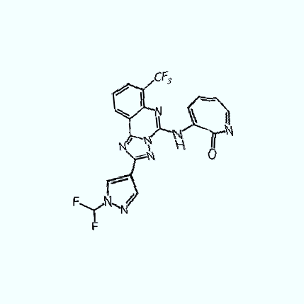 O=c1nccccc1Nc1nc2c(C(F)(F)F)cccc2c2nc(-c3cnn(C(F)F)c3)nn12